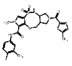 Cc1nnc(C(=O)N2CC3COc4c(cn(C)c4C(=O)Nc4ccc(F)c(C)c4)S(=O)(=O)NC3C2)s1